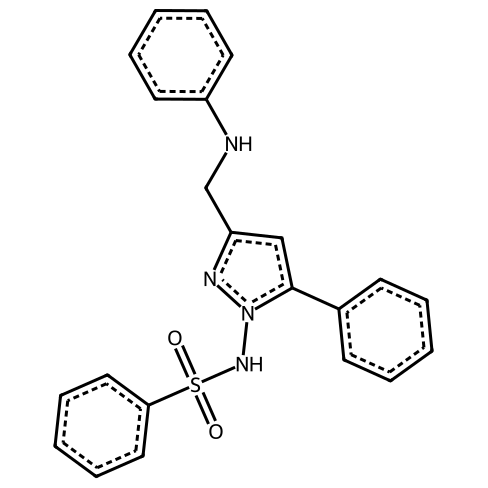 O=S(=O)(Nn1nc(CNc2ccccc2)cc1-c1ccccc1)c1ccccc1